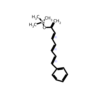 C=C(/C=C/C=C/C=C/c1ccccc1)O[Si](C)(C)C